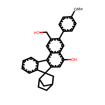 COc1ccc(-c2cc3c(O)cc4c(c3cc2CO)-c2ccccc2C42CC3CCC2C3)cc1